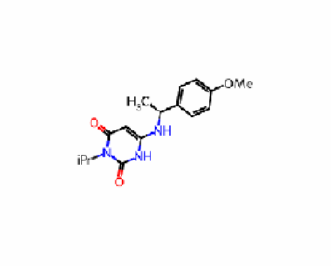 COc1ccc([C@H](C)Nc2cc(=O)n(C(C)C)c(=O)[nH]2)cc1